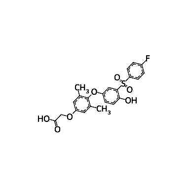 Cc1cc(OCC(=O)O)cc(C)c1Oc1ccc(O)c(S(=O)(=O)c2ccc(F)cc2)c1